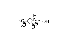 CCON(OCC)c1ccc(NCCCO)c([N+](=O)[O-])c1